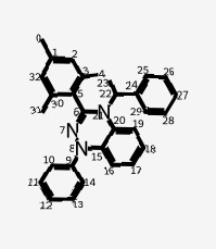 Cc1cc(C)c(C2=NN(c3ccccc3)c3ccccc3N2C(C)c2ccccc2)c(C)c1